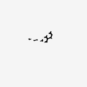 C=COCCOc1nc2oc(=O)cc(CC)c2c(=O)[nH]1